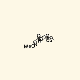 COc1ccc(Cn2ncc3cc(S(=O)(=O)c4ccc(C)s4)ccc3c2=O)cn1